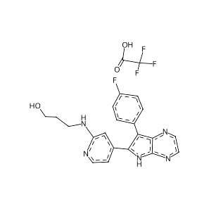 O=C(O)C(F)(F)F.OCCCNc1cc(-c2[nH]c3nccnc3c2-c2ccc(F)cc2)ccn1